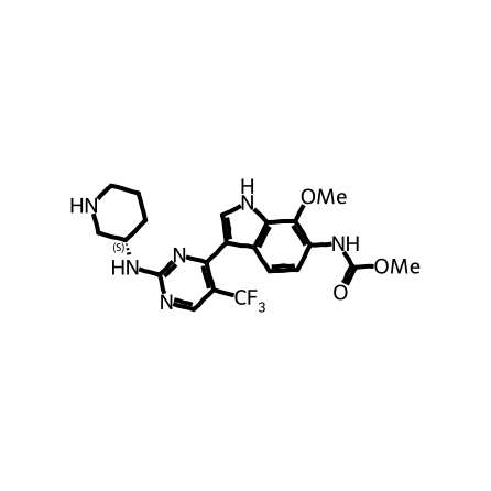 COC(=O)Nc1ccc2c(-c3nc(N[C@H]4CCCNC4)ncc3C(F)(F)F)c[nH]c2c1OC